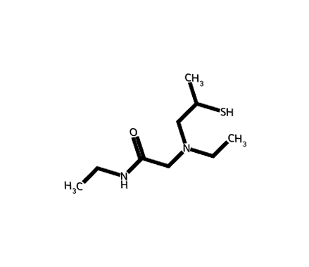 CCNC(=O)CN(CC)CC(C)S